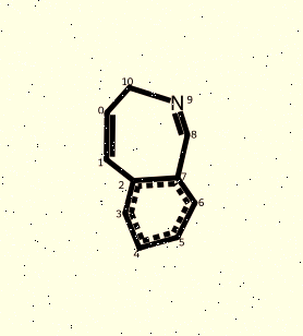 C1=Cc2ccccc2C=NC1